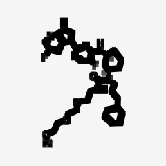 CCOCCOCCOCCNC(=O)N(CCCc1ccccc1)[C@@H]1CCC[C@H](Nc2nc(-c3c[nH]c4ncc(F)cc34)ncc2F)C1